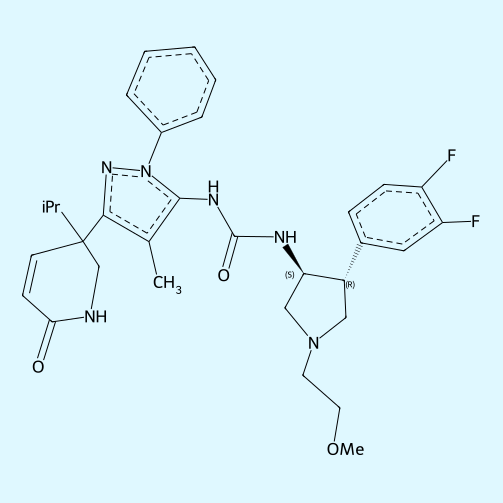 COCCN1C[C@@H](NC(=O)Nc2c(C)c(C3(C(C)C)C=CC(=O)NC3)nn2-c2ccccc2)[C@H](c2ccc(F)c(F)c2)C1